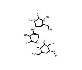 CC(C)O[C@H]1OC(CO)[C@@H](O[C@H]2OC=C(N[C@H]3C=C(CO)[C@@H](O)[C@H](O)[C@H]3O)C(O)C2O)C(O)C1O